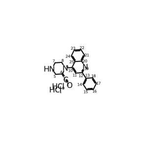 Cl.Cl.O=C=C1CNCCN1c1cc(-c2ccccc2)nc2ccccc12